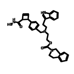 O=C(NO)C1C#CC1c1ccc(CN(CCOC(=O)N2CCc3ccccc3C2)CCc2c[nH]c3ccccc23)cc1